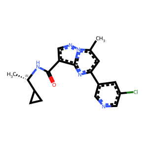 Cc1cc(-c2cncc(Cl)c2)nc2c(C(=O)N[C@@H](C)C3CC3)cnn12